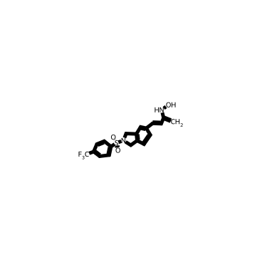 C=C(/C=C/c1ccc2c(c1)CN(S(=O)(=O)c1ccc(C(F)(F)F)cc1)C2)NO